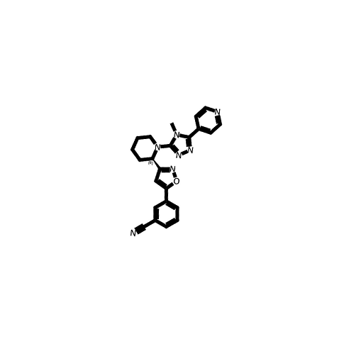 Cn1c(-c2ccncc2)nnc1N1CCCC[C@@H]1c1cc(-c2cccc(C#N)c2)on1